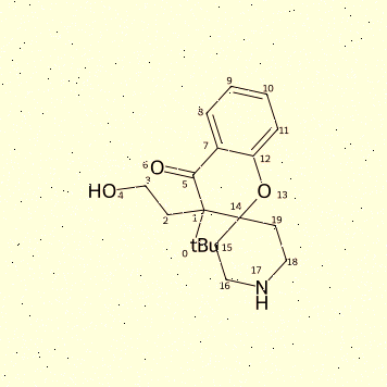 CC(C)(C)C1(CCO)C(=O)c2ccccc2OC12CCNCC2